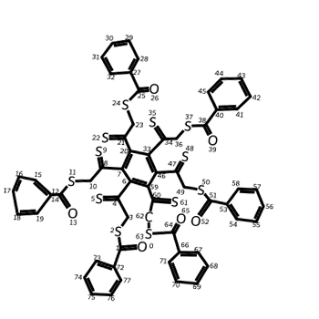 O=C(SCC(=S)c1c(C(=S)CSC(=O)c2ccccc2)c(C(=S)CSC(=O)c2ccccc2)c(C(=S)CSC(=O)c2ccccc2)c(C(=S)CSC(=O)c2ccccc2)c1C(=S)CSC(=O)c1ccccc1)c1ccccc1